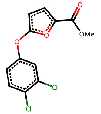 COC(=O)c1ccc(Oc2ccc(Cl)c(Cl)c2)o1